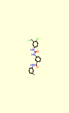 Cc1cccc(NC(=O)c2cccc(NC(=O)Nc3ccc(Cl)c(CF)c3)c2)c1